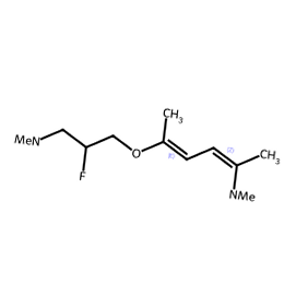 CNCC(F)CO/C(C)=C/C=C(/C)NC